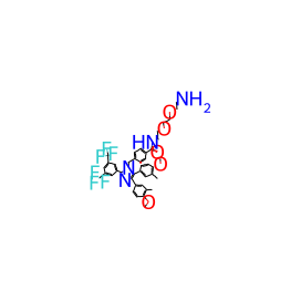 COc1ccc(-c2nc(-c3cc(C(F)(F)F)cc(C(F)(F)F)c3)n(Cc3ccc(C(=O)NCCOCCOCCN)cc3)c2-c2ccc(OC)c(C)c2)cc1C